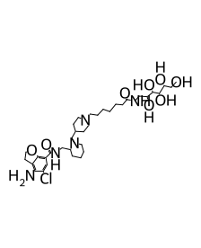 Nc1c(Cl)cc(C(=O)NCC2CCCCN2CC2CCN(CCCCCCC(=O)NCC(O)C(O)C(O)C(O)CO)CC2)c2c1CCO2